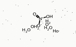 O.O.O.O.O=[N+]([O-])O.[Ho]